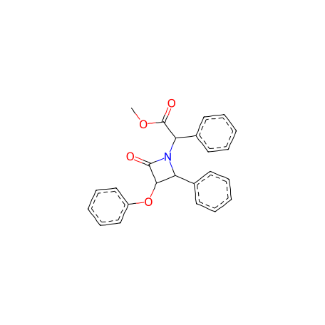 COC(=O)C(c1ccccc1)N1C(=O)C(Oc2ccccc2)C1c1ccccc1